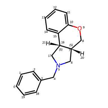 c1ccc(CN2C[C@H]3COc4ccccc4[C@H]3C2)cc1